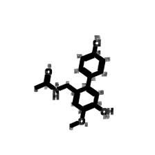 COc1cc(CNC(C)=O)c(-c2ccc(Cl)cc2)cc1O